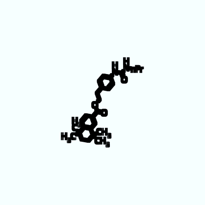 CCCNC(=O)Nc1ccc(CCOC(=O)c2ccc3c(c2)C(C)(C)CCC3(C)C)cc1